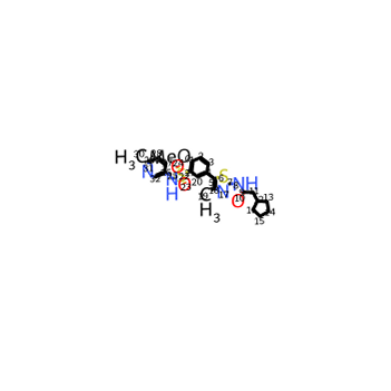 COc1ccc(-c2sc(NC(=O)CC3CCCC3)nc2C)cc1S(=O)(=O)Nc1ccc(C)nc1